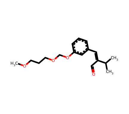 COCCCOCOc1cccc(C=C(C=O)C(C)C)c1